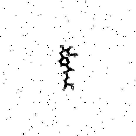 CCN(Cc1ccc(C(=O)NCCC(=O)OCl)cc1)C(=O)OC(C)(C)C